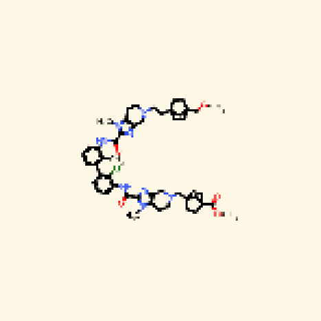 COCC12CCC(CCN3CCc4c(nc(C(=O)Nc5cccc(-c6cccc(NC(=O)c7nc8c(n7C)CCN(CC79CCC(C(=O)OC)(CC7)C9)C8)c6Cl)c5C)n4C)C3)(CC1)C2